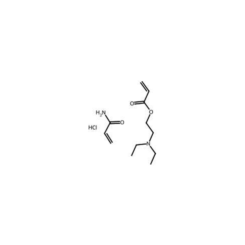 C=CC(=O)OCCN(CC)CC.C=CC(N)=O.Cl